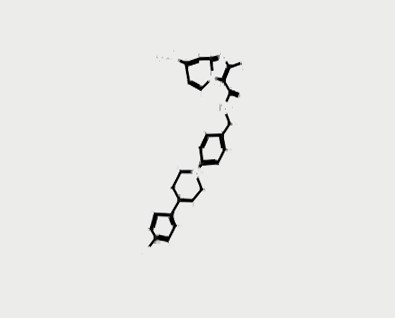 CCc1nc2cc(OC)ccn2c1C(=O)NCc1ccc(N2CCC(c3ccc(F)cc3)CC2)cc1